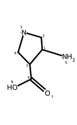 NC1C[N]CC1C(=O)O